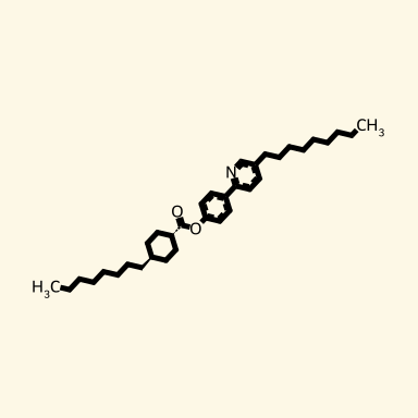 CCCCCCCCCc1ccc(-c2ccc(OC(=O)[C@H]3CC[C@H](CCCCCCCC)CC3)cc2)nc1